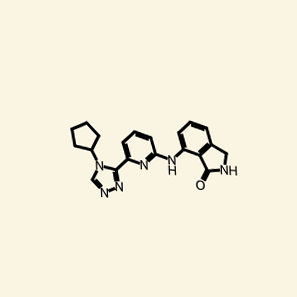 O=C1NCc2cccc(Nc3cccc(-c4nncn4C4CCCC4)n3)c21